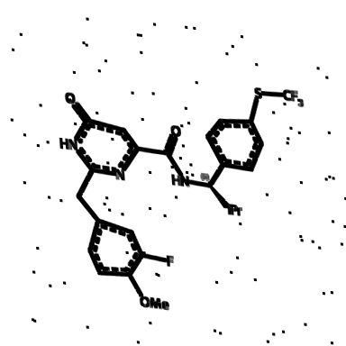 COc1ccc(Cc2nc(C(=O)N[C@@H](c3ccc(SC(F)(F)F)cc3)C(C)C)cc(=O)[nH]2)cc1F